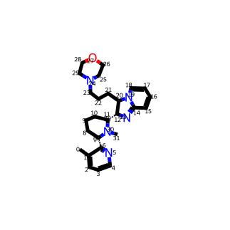 Cc1cccnc1[C@@H]1CCC[C@H](C2N=C3C=CC=CN3C2CCCN2CCOCC2)N1C